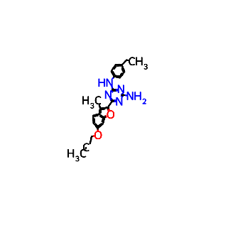 CCCCOc1ccc2c(C)c(-c3nc(N)nc(Nc4ccc(CC)cc4)n3)oc2c1